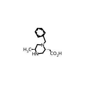 C[C@H]1CN(Cc2ccccc2)[C@H](CC(=O)O)CN1